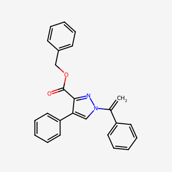 C=C(c1ccccc1)n1cc(-c2ccccc2)c(C(=O)OCc2ccccc2)n1